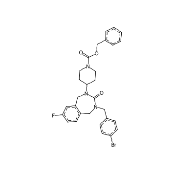 O=C(OCc1ccccc1)N1CCC(N2Cc3cc(F)ccc3CN(Cc3ccc(Br)cc3)C2=O)CC1